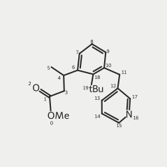 COC(=O)CC(C)c1cccc(Cc2cccnc2)c1C(C)(C)C